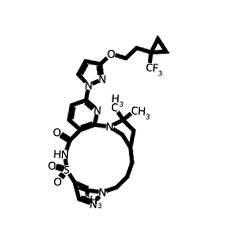 Cc1c2cnn1CCCC1CN(c3nc(-n4ccc(OCCC5(C(F)(F)F)CC5)n4)ccc3C(=O)NS2(=O)=O)C(C)(C)C1